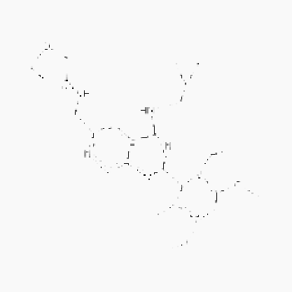 CCc1c(OC)cc(OC)c(Cl)c1-c1nc(NCC2CC2)c2cc(CN[C@H]3CCOC3)ncc2n1